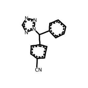 N#Cc1ccc(C(c2ccccc2)n2ncnn2)cc1